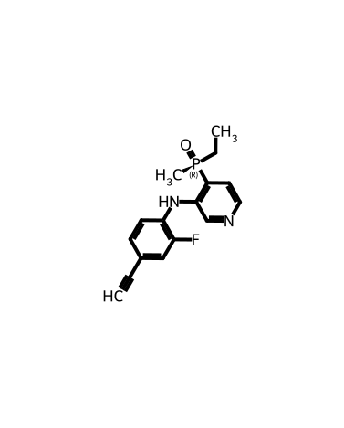 C#Cc1ccc(Nc2cnccc2[P@](C)(=O)CC)c(F)c1